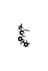 COc1nc(Nc2cccc3c2nc(-c2cccc(F)c2F)n3C)ccc1-n1cnc(C)c1